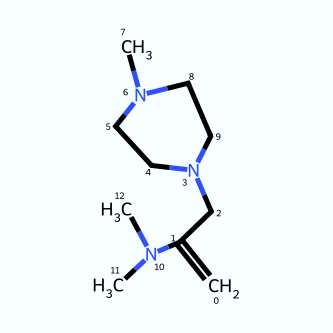 C=C(CN1CCN(C)CC1)N(C)C